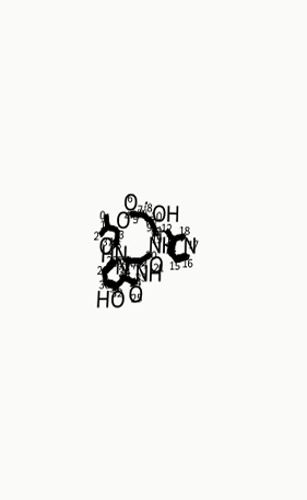 CC(C)C1OC(=O)[C@H](C)[C@H](O)[C@H](Cc2cccnc2)NC(=O)[C@@H](NC(=O)c2ncccc2O)[C@@H](C)NC1=O